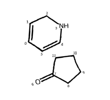 C1=CCNC=C1.O=C1CCCC1